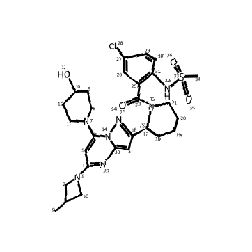 CC1CN(c2cc(N3CCC(O)CC3)n3nc([C@@H]4CCCCN4C(=O)c4cc(Cl)ccc4NS(C)(=O)=O)cc3n2)C1